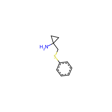 NC1(CSc2ccccc2)CC1